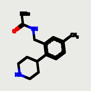 CNC(=O)NCc1cc(C)ccc1C1CCNCC1